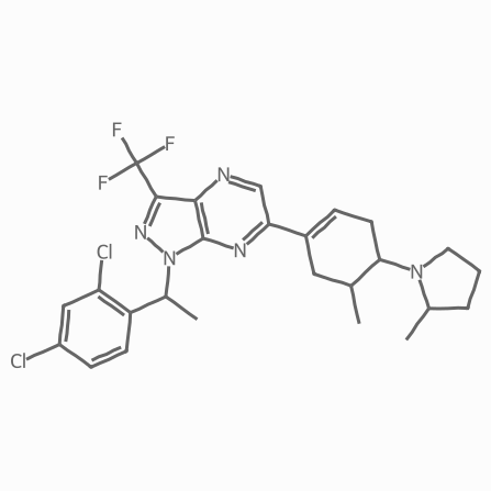 CC1CC(c2cnc3c(C(F)(F)F)nn(C(C)c4ccc(Cl)cc4Cl)c3n2)=CCC1N1CCCC1C